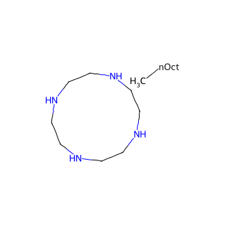 C1CNCCNCCNCCN1.CCCCCCCCC